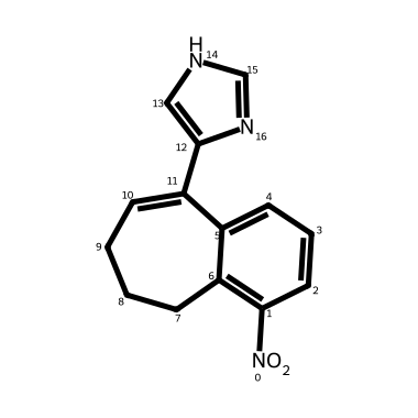 O=[N+]([O-])c1cccc2c1CCCC=C2c1c[nH]cn1